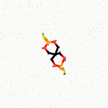 S=[PH]1OCC2(CO1)CO[PH](=S)OC2